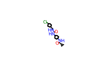 O=C(NCc1ccc(Cl)cc1)Nc1ccc(NC(=O)C2CC2)cc1